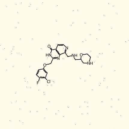 O=c1[nH]c(COc2ccc(F)c(Cl)c2)nc2c(CNCC3CNCCO3)nccc12